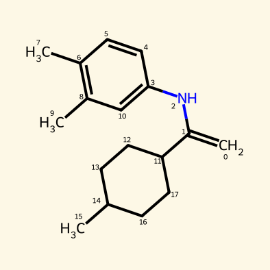 C=C(Nc1ccc(C)c(C)c1)C1CCC(C)CC1